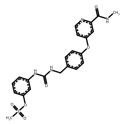 CNC(=O)c1cc(Oc2ccc(CNC(=O)Nc3cccc(OS(C)(=O)=O)c3)cc2)ccn1